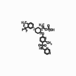 Cc1ccc([C@H]2CC[C@H](Oc3ccc(S(=O)(=O)Nc4ccncn4)c(C)n3)[C@@H](N(C)C)C2)cc1C(F)(F)F.O=CO